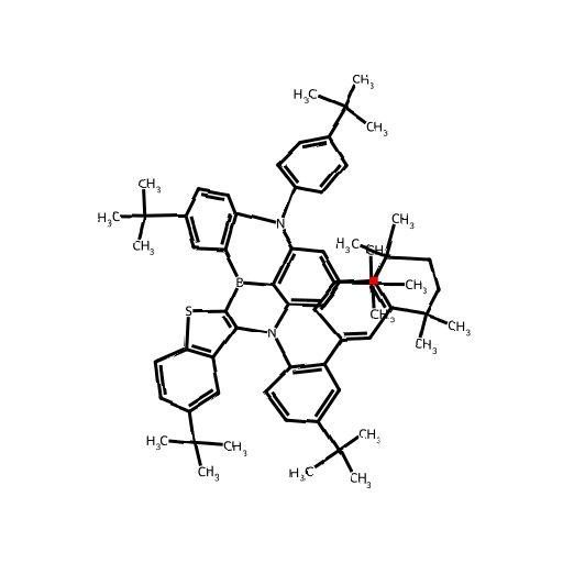 CC(C)(C)c1ccc(N2c3ccc(C(C)(C)C)cc3B3c4sc5ccc(C(C)(C)C)cc5c4N(c4ccc(C(C)(C)C)cc4-c4ccc5c(c4)C(C)(C)CCC5(C)C)c4cc(C(C)(C)C)cc2c43)cc1